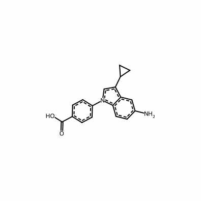 Nc1ccc2c(c1)c(C1CC1)cn2-c1ccc(C(=O)O)cc1